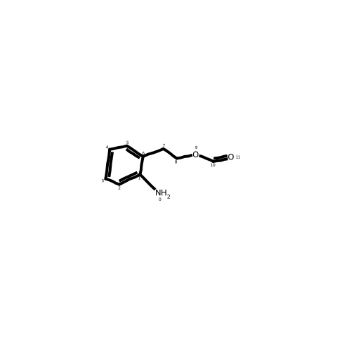 Nc1ccccc1CCO[C]=O